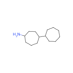 NC1CCCC(C2CCCCCC2)CC1